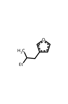 CCC(C)Cc1ccoc1